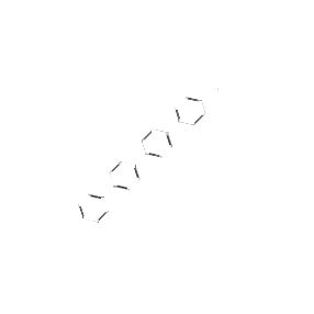 CCc1ccc(-c2ccc(-c3ccc(-c4cccc(F)c4F)cc3)cc2)cc1